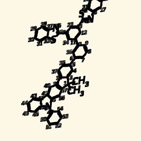 CC1(C)c2cc(-c3cccc(-c4cc(-c5nc6ccccc6s5)cc(-c5nc6ccccc6s5)c4)c3)ccc2-c2cc3c4ccccc4n(-c4ccccc4)c3cc21